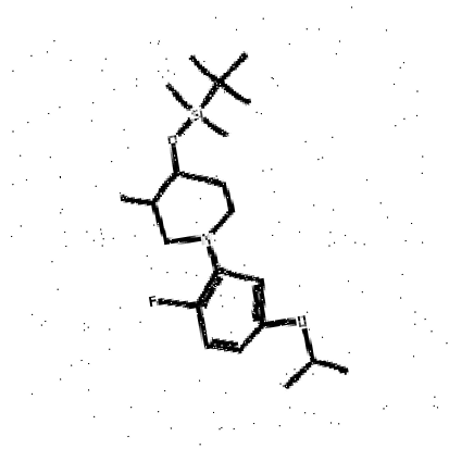 CC(C)Oc1ccc(F)c(N2CCC(O[Si](C)(C)C(C)(C)C)C(C)C2)c1